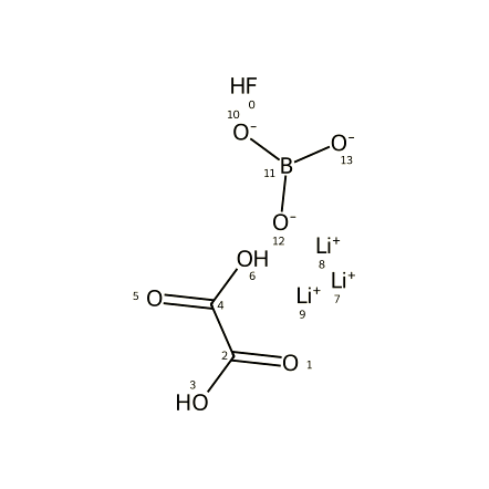 F.O=C(O)C(=O)O.[Li+].[Li+].[Li+].[O-]B([O-])[O-]